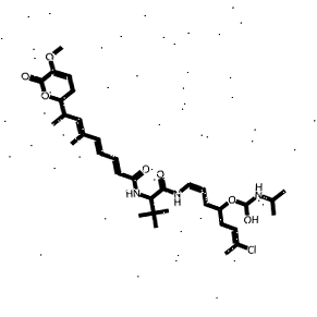 COC1=CCC(C(C)/C=C(C)/C=C/C=C/C(=O)NC(C(=O)N/C=C\CC(C/C=C(\C)Cl)OC(O)NC(C)C)C(C)(C)C)OC1=O